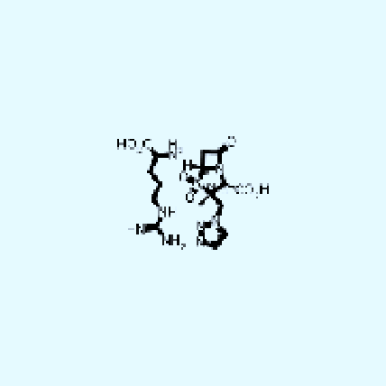 C[C@]1(Cn2ccnn2)[C@H](C(=O)O)N2C(=O)C[C@H]2S1(=O)=O.N=C(N)NCCCC(N)C(=O)O